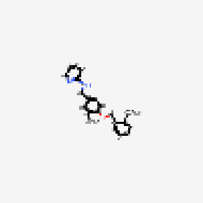 COc1ccccc1COc1ccc(CNc2ccccn2)cc1OC